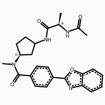 CC(=O)N[C@H](C)C(=O)NC1CC[C@H](N(C)C(=O)c2ccc(-c3nc4ccccc4o3)cc2)C1